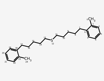 Cc1ccccc1CCCCCSCCCCCc1ccccc1C